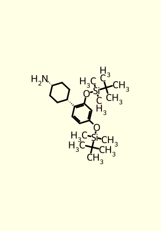 CC(C)(C)[Si](C)(C)Oc1ccc([C@H]2CC[C@@H](N)CC2)c(O[Si](C)(C)C(C)(C)C)c1